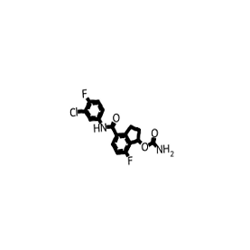 NC(=O)OC1CCc2c(C(=O)Nc3ccc(F)c(Cl)c3)ccc(F)c21